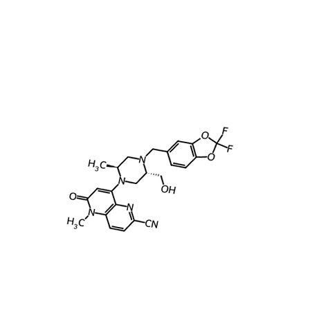 C[C@H]1CN(Cc2ccc3c(c2)OC(F)(F)O3)[C@H](CO)CN1c1cc(=O)n(C)c2ccc(C#N)nc12